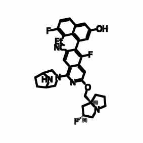 CCc1c(F)ccc2cc(O)cc(-c3c(C#N)cc4c(N5CC6CCC(C5)N6)nc(OC[C@@]56CCCN5C[C@H](F)C6)cc4c3F)c12